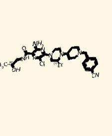 CC[C@H]1CN(c2nc(N)c(C(=O)NC[C@@H](C)O)nc2Cl)CCN1C1CCN(Cc2ccc(C#N)cc2)CC1